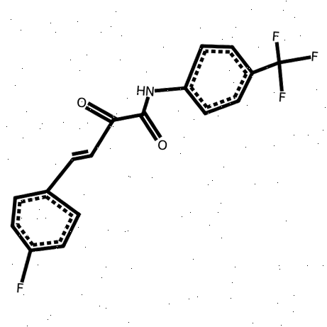 O=C(/C=C/c1ccc(F)cc1)C(=O)Nc1ccc(C(F)(F)F)cc1